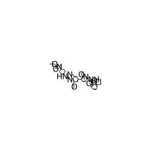 COCc1cc(-c2ccc(NS(=O)(=O)c3ccccc3Cl)nc2OC)cc2cnc(NC3CCC(N(C)C(=O)OC(C)(C)C)CC3)nc12